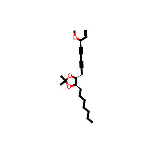 C=C[C@@H](C#CC#CC[C@H]1OC(C)(C)O[C@@H]1CCCCCCC)OC